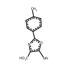 CCCc1oc(-c2ccc(C)cc2)nc1C(=O)O